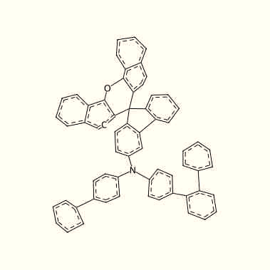 c1ccc(-c2ccc(N(c3ccc(-c4ccccc4-c4ccccc4)cc3)c3ccc4c(c3)-c3ccccc3C43c4ccc5ccccc5c4Oc4c3ccc3ccccc43)cc2)cc1